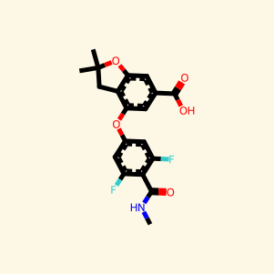 CNC(=O)c1c(F)cc(Oc2cc(C(=O)O)cc3c2CC(C)(C)O3)cc1F